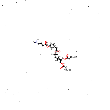 CCCCCCCCCCCC(=O)OCC(COC(=O)CCCCCCCCCCC)C(C)(C)CC(C)(C)OC(=O)CC1CCC(OC(=O)CCCN(C)C)C1